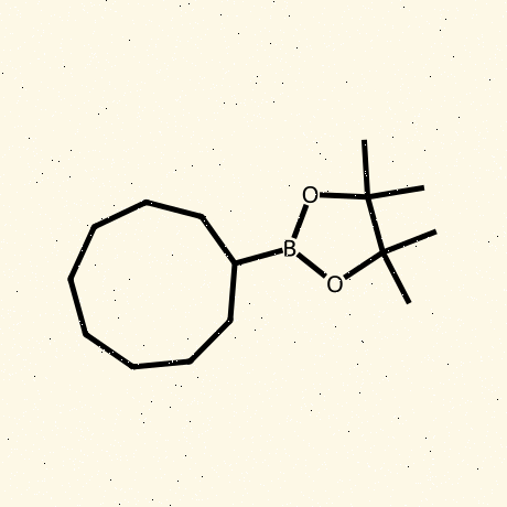 CC1(C)OB(C2CCCCCCCC2)OC1(C)C